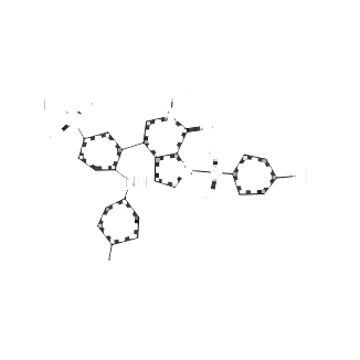 Cc1ccc(S(=O)(=O)n2ccc3c(-c4cc(S(C)(=O)=O)ccc4Nc4ccc(F)cc4)cn(C)c(=O)c32)cc1